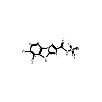 CCS(=O)(=O)NC(=O)c1cn2c(n1)sc1c(Cl)c(Cl)ccc12